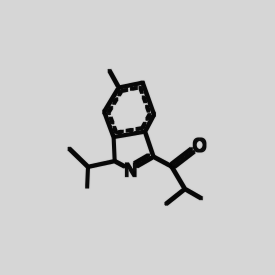 Cc1ccc2c(c1)C(C(C)C)N=C2C(=O)C(C)C